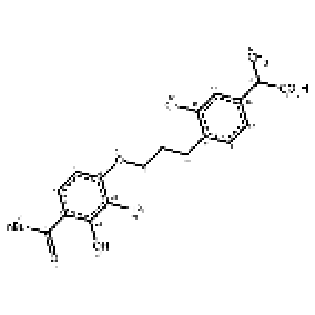 CCCCC(=O)c1ccc(OCCCc2ccc(C(C)C(=O)O)cc2Cl)c(CCC)c1O